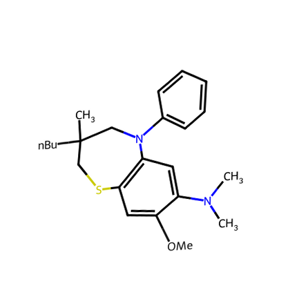 CCCCC1(C)CSc2cc(OC)c(N(C)C)cc2N(c2ccccc2)C1